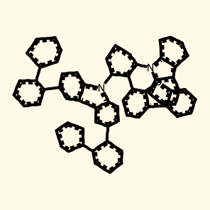 c1ccc(-c2ccccc2-c2ccc3c(c2)c2cc(-c4ccccc4-c4ccccc4)ccc2n3-c2cccc(-n3c4ccccc4c4ccccc43)c2-c2cccc3c2oc2ccccc23)cc1